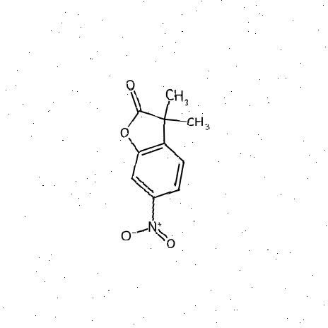 CC1(C)C(=O)Oc2cc([N+](=O)[O-])ccc21